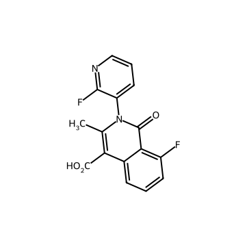 Cc1c(C(=O)O)c2cccc(F)c2c(=O)n1-c1cccnc1F